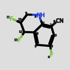 N#Cc1cc(F)cc2c1NCC(F)C2F